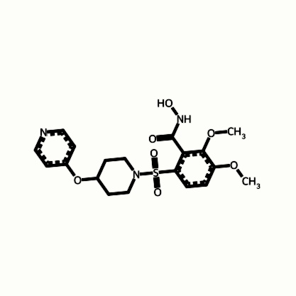 COc1ccc(S(=O)(=O)N2CCC(Oc3ccncc3)CC2)c(C(=O)NO)c1OC